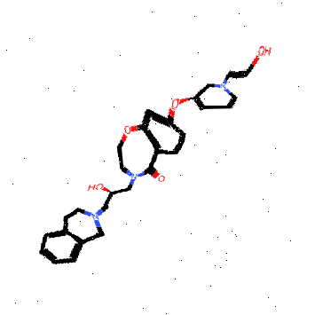 O=C1c2ccc(O[C@@H]3CCCN(CCO)C3)cc2OCCN1C[C@H](O)CN1CCc2ccccc2C1